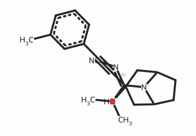 Cc1cccc(C#CC2(O)CC3CCC(C2)N3/C(=N/C#N)N(C)C)c1